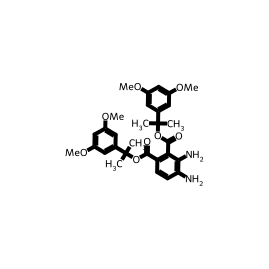 COc1cc(OC)cc(C(C)(C)OC(=O)c2ccc(N)c(N)c2C(=O)OC(C)(C)c2cc(OC)cc(OC)c2)c1